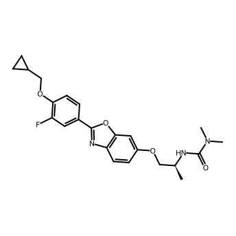 C[C@@H](COc1ccc2nc(-c3ccc(OCC4CC4)c(F)c3)oc2c1)NC(=O)N(C)C